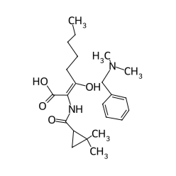 CCCCC/C(O)=C(/NC(=O)C1CC1(C)C)C(=O)O.CN(C)Cc1ccccc1